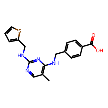 Cc1cnc(NCc2cccs2)nc1NCc1ccc(C(=O)O)cc1